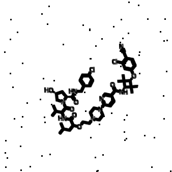 CC(C)CC(OCCN1CCN(c2ccc(C(=O)N[C@H]3C(C)(C)[C@H](Oc4ccc(C#N)c(Cl)c4)C3(C)C)cn2)CC1)C(=O)NC(C(=O)N1C[C@H](O)C[C@H]1C(=O)NCc1ccc(Cl)cc1)C(C)C